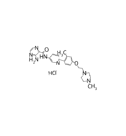 Cc1cc(OCCN2CCN(C)CC2)ccc1-c1ccc(NC(=O)c2nccnc2N)cn1.Cl